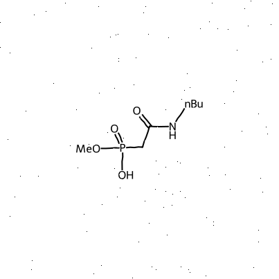 CCCCNC(=O)CP(=O)(O)OC